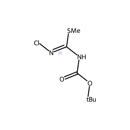 CS/C(=N\Cl)NC(=O)OC(C)(C)C